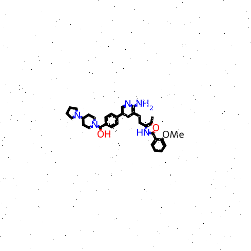 COC1=CCCC=C1C1NC(CCC2=C(N)N=CC(c3ccc(C(O)N4CCC(N5CCCC5)CC4)cc3)C2)=C(C)O1